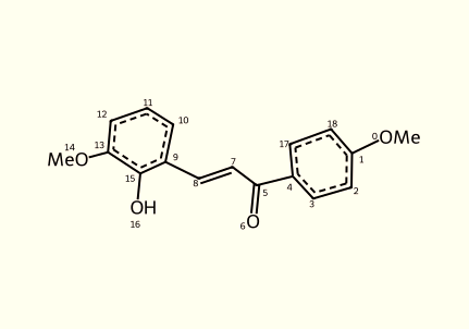 COc1ccc(C(=O)C=Cc2cccc(OC)c2O)cc1